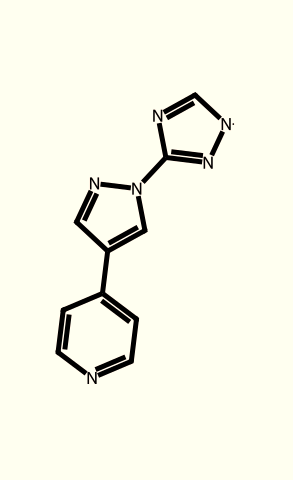 C1=NC(n2cc(-c3ccncc3)cn2)=N[N]1